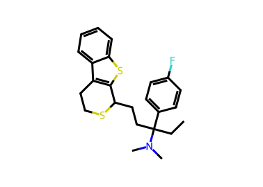 CCC(CCC1SCCc2c1sc1ccccc21)(c1ccc(F)cc1)N(C)C